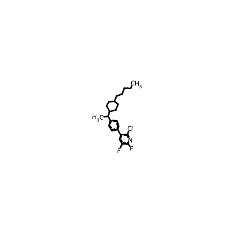 CCCCCC1CCC(C(C)c2ccc(-c3cc(F)c(F)nc3Cl)cc2)CC1